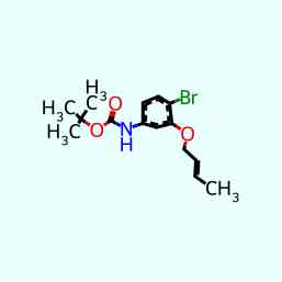 CC=CCOc1cc(NC(=O)OC(C)(C)C)ccc1Br